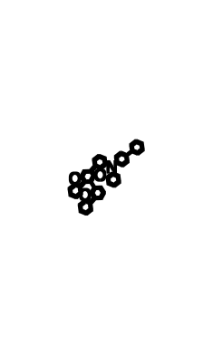 c1ccc(-c2ccc(N(c3ccccc3)c3cccc4c3oc3c(-c5cccc6c5oc5ccccc56)c5c(cc34)oc3ccccc35)cc2)cc1